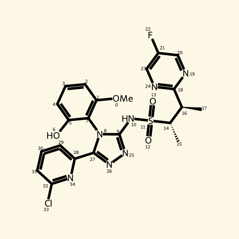 COc1cccc(O)c1-n1c(NS(=O)(=O)[C@@H](C)[C@H](C)c2ncc(F)cn2)nnc1C1=C=C=CC(Cl)=N1